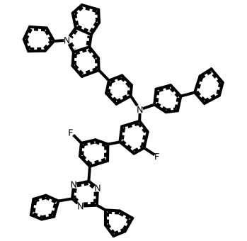 Fc1cc(-c2cc(F)cc(N(c3ccc(-c4ccccc4)cc3)c3ccc(-c4ccc5c(c4)c4ccccc4n5-c4ccccc4)cc3)c2)cc(-c2nc(-c3ccccc3)nc(-c3ccccc3)n2)c1